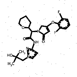 CC(C)(O)Cn1ccc(NC(=O)C(C2CCCCO2)N2CC(Oc3c(F)cccc3F)=CC2=O)n1